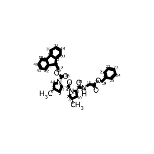 C[C@@H]1C[C@@H](C(=O)N2C[C@@H](C)C[C@H]2C(=O)NCC(=O)OCc2ccccc2)N(C(=O)OCC2c3ccccc3-c3ccccc32)C1